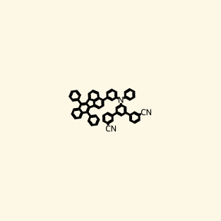 N#Cc1cccc(-c2cc(-c3cccc(C#N)c3)cc(N(c3ccccc3)c3cccc(-c4ccc5c6c(cccc46)-c4c-5c(-c5ccccc5)c5ccccc5c4-c4ccccc4)c3)c2)c1